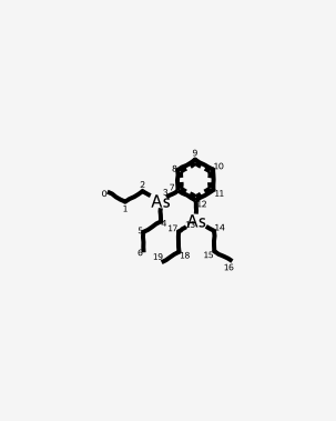 CCC[As](CCC)c1ccccc1[As](CCC)CCC